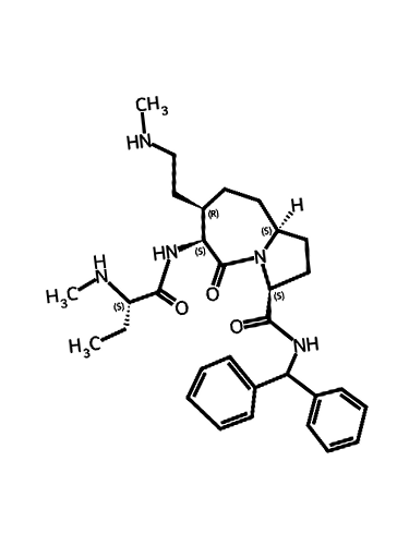 CC[C@H](NC)C(=O)N[C@@H]1C(=O)N2[C@@H](CC[C@@H]1CCNC)CC[C@H]2C(=O)NC(c1ccccc1)c1ccccc1